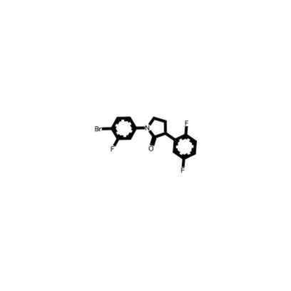 O=C1C(c2cc(F)ccc2F)CCN1c1ccc(Br)c(F)c1